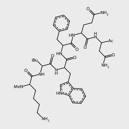 CCC(C)C(NC(=O)C(CCCCN)NC)C(=O)NC(Cc1c[nH]c2ccccc12)C(=O)NC(Cc1ccccc1)C(=O)NC(CCC(N)=O)C(=O)NC(CC(N)=O)C(C)=O